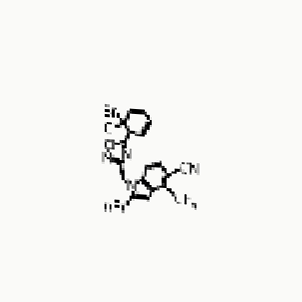 CCCc1cc2c(C(F)(F)F)c(C#N)ccc2n1Cc1noc(C2C=CC=CC2(Cl)Br)n1